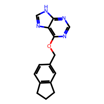 c1nc(OCc2ccc3c(c2)CCC3)c2nc[nH]c2n1